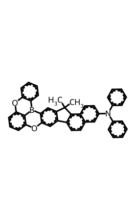 CC1(C)c2cc3c(cc2-c2ccc4cc(N(c5ccccc5)c5ccccc5)ccc4c21)Oc1cccc2c1B3c1ccccc1O2